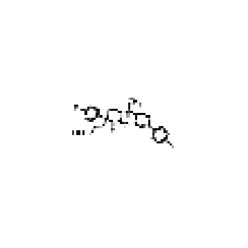 C[C@@H](c1ccc(-c2ccc(F)cc2)cc1)N1CCC(CCCO)(c2ccc(F)cc2)NC1=O